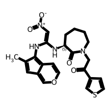 Cc1cc2coccc-2c1NC(=C[N+](=O)[O-])N[C@H]1CCCCN(CC(=O)c2ccsc2)C1=O